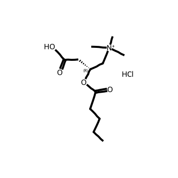 CCCCC(=O)O[C@H](CC(=O)O)C[N+](C)(C)C.Cl